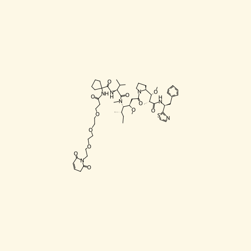 CC[C@H](C)[C@@H]([C@@H](CC(=O)N1CCC[C@H]1[C@H](OC)[C@@H](C)C(=O)N[C@@H](Cc1ccccc1)c1nccs1)OC)N(C)C(=O)[C@@H](NC(=O)C1(NC(=O)CCOCCOCCOCCN2C(=O)C=CCC2=O)CCCC1)C(C)C